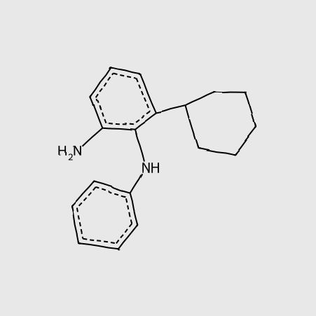 Nc1cccc(C2CCCCC2)c1Nc1ccccc1